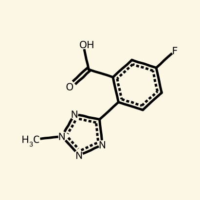 Cn1nnc(-c2ccc(F)cc2C(=O)O)n1